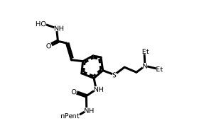 CCCCCNC(=O)Nc1cc(/C=C/C(=O)NO)ccc1SCCN(CC)CC